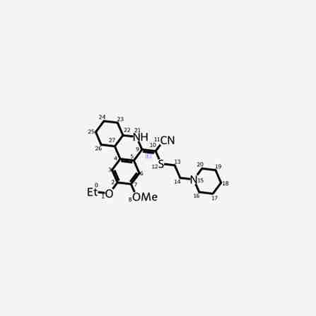 CCOc1cc2c(cc1OC)/C(=C(/C#N)SCCN1CCCCC1)NC1CCCCC21